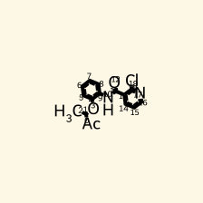 CC(=O)C(C)Oc1ccccc1NC(=O)c1cccnc1Cl